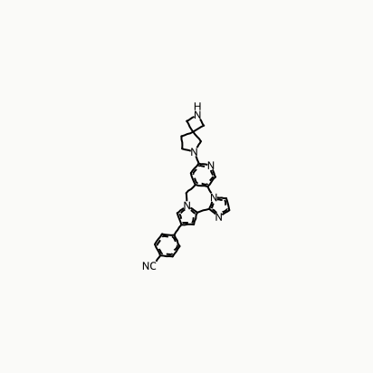 N#Cc1ccc(-c2cc3n(c2)Cc2cc(N4CCC5(CNC5)C4)ncc2-n2ccnc2-3)cc1